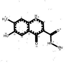 Cc1cc2[nH]cc(C(=O)NC(C)(C)C)c(=O)c2cc1O